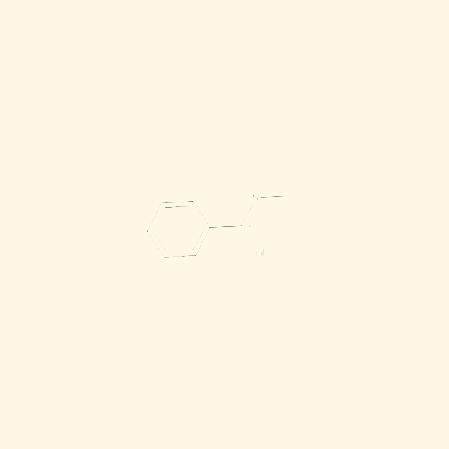 CCCN[C@H](CCC)c1ccccc1